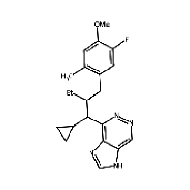 CCC(Cc1cc(F)c(OC)cc1C)C(c1nncc2[nH]cnc12)C1CC1